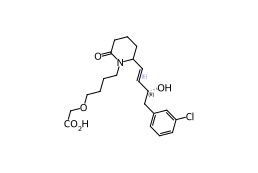 O=C(O)COCCCCN1C(=O)CCCC1/C=C/[C@H](O)Cc1cccc(Cl)c1